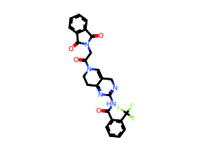 O=C(NC1=NCC2=CN(C(=O)CN3C(=O)c4ccccc4C3=O)CCC2=N1)c1ccccc1C(F)(F)F